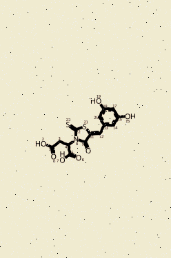 O=C(O)CC(C(=O)O)N1C(=O)C(=Cc2cc(O)cc(O)c2)SC1=S